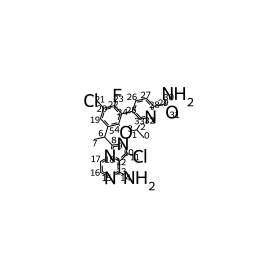 CC(C)Oc1c(C(C)c2nc(Cl)c3c(N)nccn23)cc(Cl)c(F)c1-c1ccc(C(N)=O)nc1